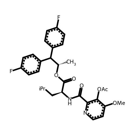 COc1ccnc(C(=O)N[C@@H](CC(C)C)C(=O)O[C@@H](C)C(c2ccc(F)cc2)c2ccc(F)cc2)c1OC(C)=O